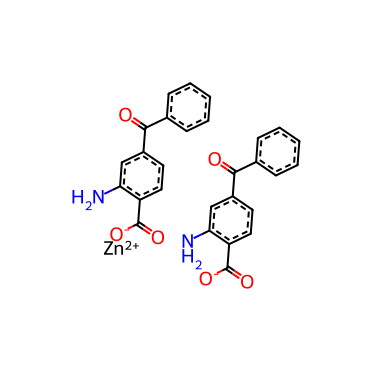 Nc1cc(C(=O)c2ccccc2)ccc1C(=O)[O-].Nc1cc(C(=O)c2ccccc2)ccc1C(=O)[O-].[Zn+2]